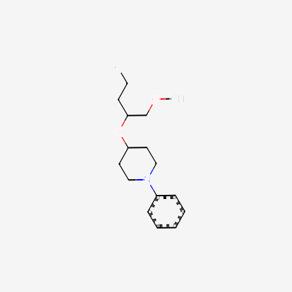 CCCC(COC)OC1CCN(c2c[c]ccc2)CC1